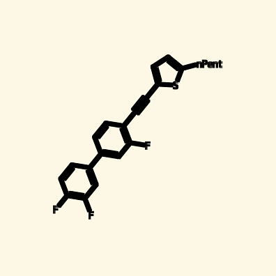 CCCCCc1ccc(C#Cc2ccc(-c3ccc(F)c(F)c3)cc2F)s1